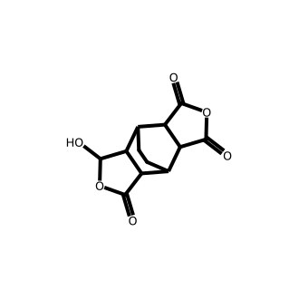 O=C1OC(=O)C2C3CCC(C12)C1C(=O)OC(O)C31